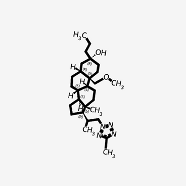 CCC[C@@]1(O)CC[C@@]2(COC)[C@H](CC[C@H]3[C@@H]4CC[C@H](C(C)Cn5nnc(C)n5)[C@@]4(C)CC[C@@H]32)C1